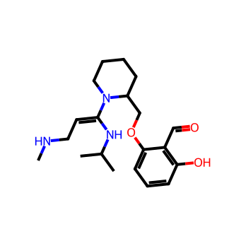 CNC/C=C(\NC(C)C)N1CCCCC1COc1cccc(O)c1C=O